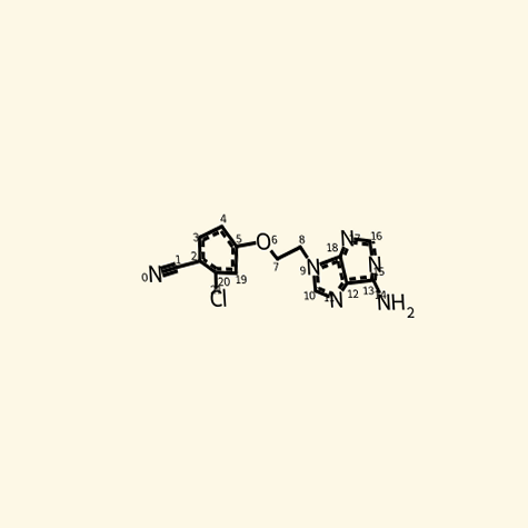 N#Cc1ccc(OCCn2cnc3c(N)ncnc32)cc1Cl